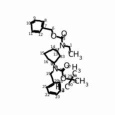 CCN(C(=O)OCc1ccccc1)[C@H]1CCC[C@@H](N(Cc2ccccc2)C(=O)OC(C)(C)C)C1